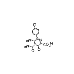 CCCC(=O)c1c(CCC)n(-c2ccc(Cl)cc2)nc(C(=O)O)c1=O